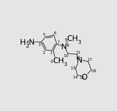 Cc1cc(N)ccc1N(C)CCN1CCOCC1